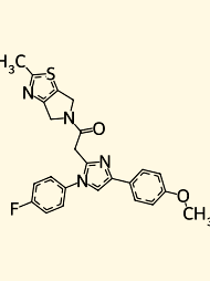 COc1ccc(-c2cn(-c3ccc(F)cc3)c(CC(=O)N3Cc4nc(C)sc4C3)n2)cc1